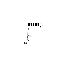 C=C.C=C.C=C.C=C.C=C.C=C.C=C.C=C.C=C.COC.OCCO